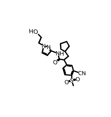 CS(=O)(=O)c1ccc(C(CC2CCCC2)C(=O)Nc2ccn(CCO)n2)cc1C#N